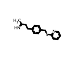 CC(=N)CCc1ccc(CSc2ccccn2)cc1